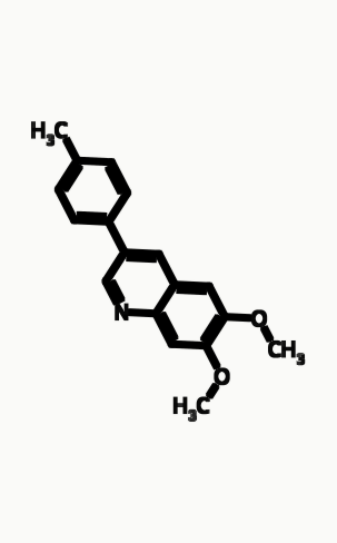 COc1cc2cc(-c3ccc(C)cc3)cnc2cc1OC